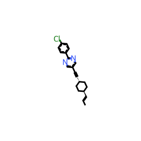 CC=C[C@H]1CC[C@H](C#Cc2cnc(-c3ccc(Cl)cc3)nc2)CC1